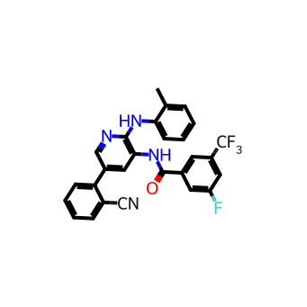 Cc1ccccc1Nc1ncc(-c2ccccc2C#N)cc1NC(=O)c1cc(F)cc(C(F)(F)F)c1